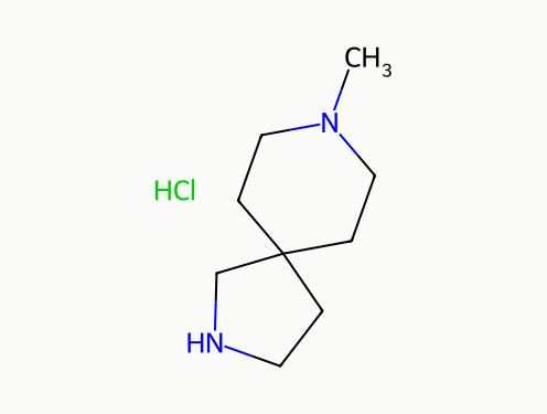 CN1CCC2(CCNC2)CC1.Cl